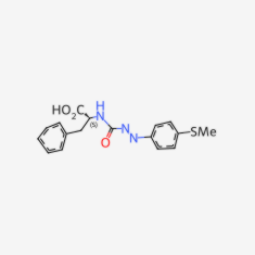 CSc1ccc(N=NC(=O)N[C@@H](Cc2ccccc2)C(=O)O)cc1